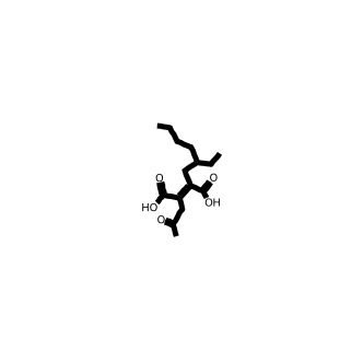 CCCCC(CC)CC(C(=O)O)=C(CC(C)=O)C(=O)O